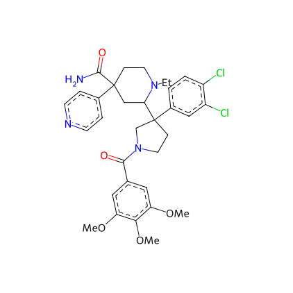 CCN1CCC(C(N)=O)(c2ccncc2)CC1C1(c2ccc(Cl)c(Cl)c2)CCN(C(=O)c2cc(OC)c(OC)c(OC)c2)C1